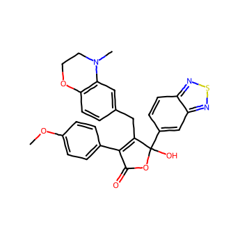 COc1ccc(C2=C(Cc3ccc4c(c3)N(C)CCO4)C(O)(c3ccc4nsnc4c3)OC2=O)cc1